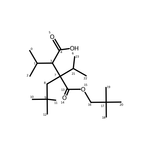 CC(C)C(C(=O)O)C(CC(C)(C)C)(C(=O)OCC(C)(C)C)C(C)C